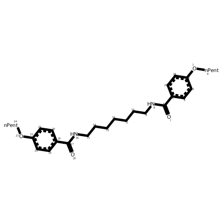 CCCCCOc1ccc(C(=O)NCCCCCCCNC(=O)c2ccc(OCCCCC)cc2)cc1